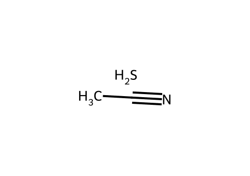 CC#N.S